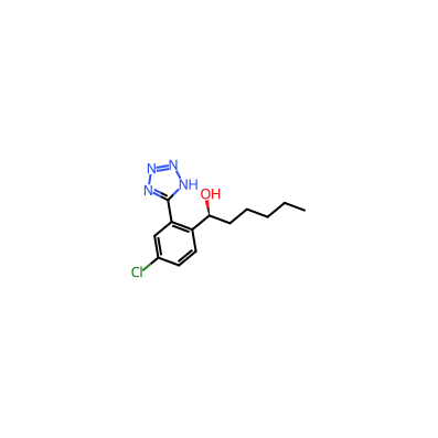 CCCCC[C@H](O)c1ccc(Cl)cc1-c1nnn[nH]1